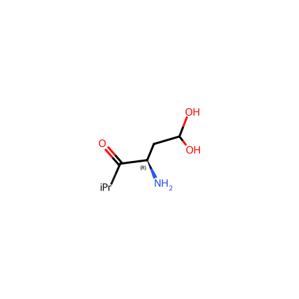 CC(C)C(=O)[C@H](N)CC(O)O